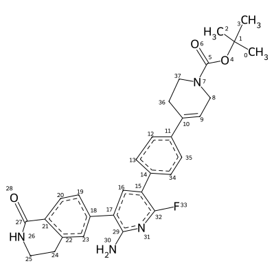 CC(C)(C)OC(=O)N1CC=C(c2ccc(-c3cc(-c4ccc5c(c4)CCNC5=O)c(N)nc3F)cc2)CC1